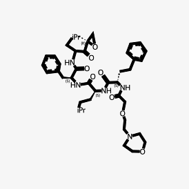 CC(C)CC[C@H](NC(=O)[C@H](CCc1ccccc1)NC(=O)COCCN1CCOCC1)C(=O)N[C@@H](Cc1ccccc1)C(=O)NC(CC(C)C)C(=O)[C@@]1(C)CO1